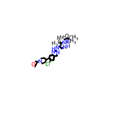 COC(C)(C)CN/C(C)=C(\C=N)Nc1ncc2cc(Cl)c(C3CCN(C4COC4)CC3)cc2n1